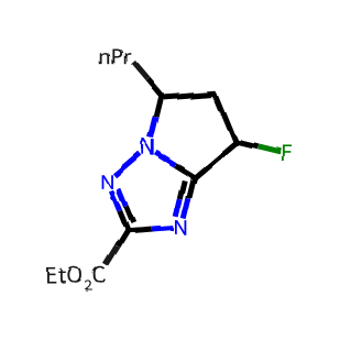 CCCC1CC(F)c2nc(C(=O)OCC)nn21